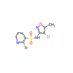 Cc1onc(NS(=O)(=O)c2cccnc2Br)c1Cl